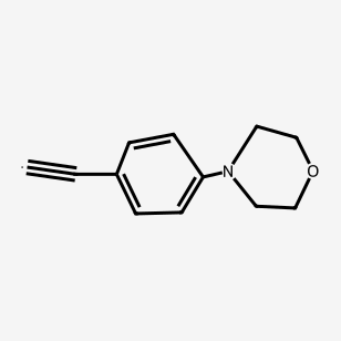 [C]#Cc1ccc(N2CCOCC2)cc1